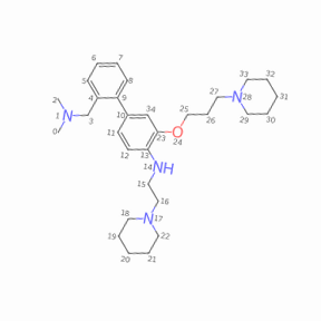 CN(C)Cc1ccccc1-c1ccc(NCCN2CCCCC2)c(OCCCN2CCCCC2)c1